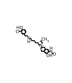 CCCN(CCCCCCNCCc1ccc(O)c(Cl)c1)C1CCc2cc(O)c(NC=O)cc2C1